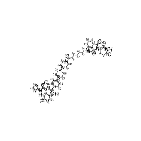 O=C1CCC(N2C(=O)c3cccc(NCCCCCCC(=O)N4CCN(C5CCN(c6ccc7c(c6)C(=O)N(C(C(=O)Nc6nccs6)c6cc(F)ccc6O)C7)CC5)CC4)c3C2=O)C(=O)N1